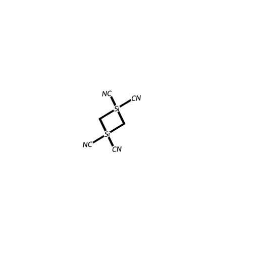 N#C[Si]1(C#N)C[Si](C#N)(C#N)C1